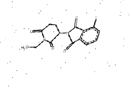 CCN1C(=O)CCC(N2C(=O)c3cccc(F)c3C2=O)C1=O